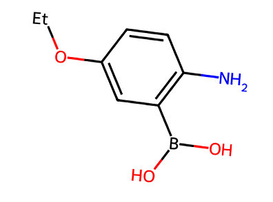 CCOc1ccc(N)c(B(O)O)c1